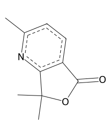 Cc1ccc2c(n1)C(C)(C)OC2=O